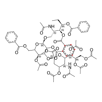 CC[C@@H](OC(=O)c1ccccc1)[C@@H](OC(=O)c1ccccc1)[C@H](CO[C@@H]1OC(COC(=O)c2ccccc2)[C@H](OC(C)=O)C(O[C@]2(C(=O)OC)CC(OC(C)=O)[C@@H](NC(C)=O)C([C@H](OC(C)=O)[C@@H](COC(C)=O)OC(C)=O)O2)C1OC(=O)c1ccccc1)NC(C)=O